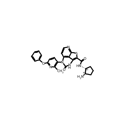 Cc1nc(Oc2ccccc2)ccc1N1C(=O)Nc2c(C(=O)N[C@@H]3CCC[C@H]3N)sc3nccc1c23